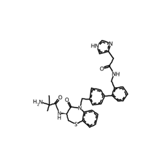 CC(C)(N)C(=O)N[C@@H]1CSc2ccccc2N(Cc2ccc(-c3ccccc3CNC(=O)Cc3c[nH]cn3)cc2)C1=O